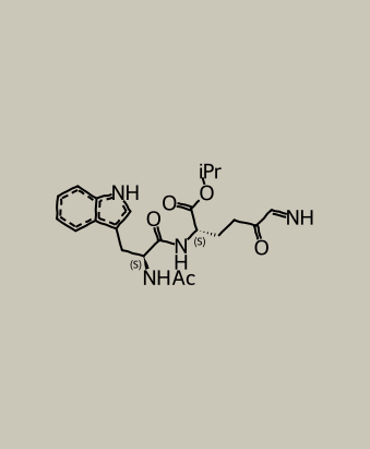 CC(=O)N[C@@H](Cc1c[nH]c2ccccc12)C(=O)N[C@@H](CCC(=O)C=N)C(=O)OC(C)C